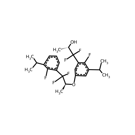 CC(C)c1cc(O[C@@H](C)C(F)(F)c2cccc(C(C)C)c2F)cc(C(F)(F)[C@H](C)O)c1F